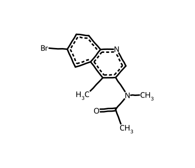 CC(=O)N(C)c1cnc2ccc(Br)cc2c1C